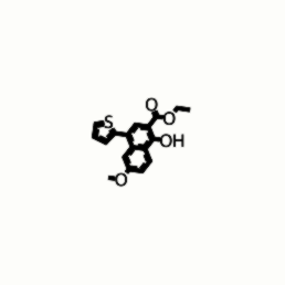 CCOC(=O)c1cc(-c2cccs2)c2cc(OC)ccc2c1O